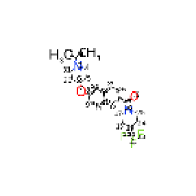 CC(C)N1CCC(Oc2ccc3cc(C(=O)N4CCC(C(F)(F)F)CC4)ccc3c2)CC1